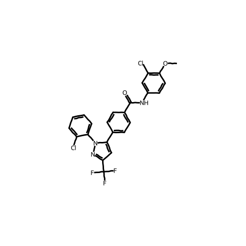 COc1ccc(NC(=O)c2ccc(-c3cc(C(F)(F)F)nn3-c3ccccc3Cl)cc2)cc1Cl